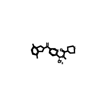 Cc1ccc(C)c2c1CC(Nc1ccc([C@H](N(C)C(=O)C3CCSCC3)C(F)(F)F)nc1)C2